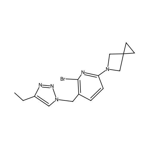 CCc1cn(Cc2ccc(N3CC4(CC4)C3)nc2Br)nn1